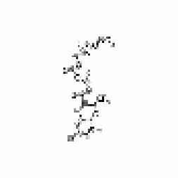 Cc1cc(Br)cc2c1OC(C(F)(F)F)C(C(=O)OC(C)OC(=O)OCC(C)(C)CO[N+](=O)[O-])=C2